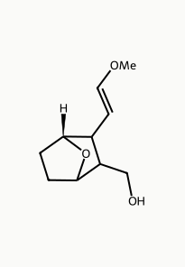 COC=CC1C(CO)C2CC[C@H]1O2